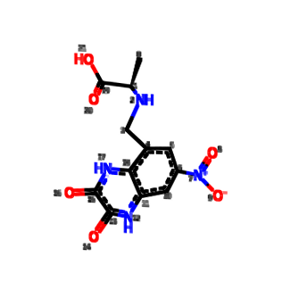 C[C@@H](NCc1cc([N+](=O)[O-])cc2[nH]c(=O)c(=O)[nH]c12)C(=O)O